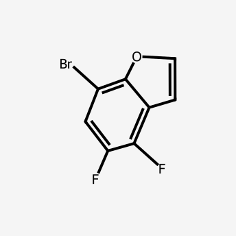 Fc1cc(Br)c2occc2c1F